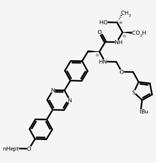 CCCCCCCOc1ccc(-c2cnc(-c3ccc(C[C@H](NCOCc4ccc(C(C)(C)C)s4)C(=O)N[C@H](C(=O)O)[C@@H](C)O)cc3)nc2)cc1